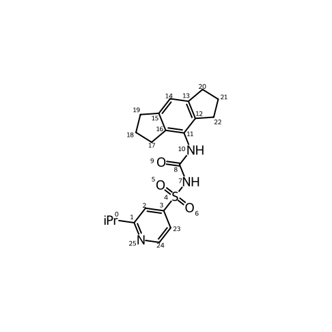 CC(C)c1cc(S(=O)(=O)NC(=O)Nc2c3c(cc4c2CCC4)CCC3)ccn1